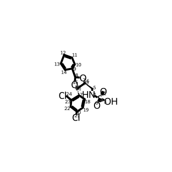 O=S(=O)(O)NC[C@@H]1OC(c2ccccc2)O[C@H]1c1ccc(Cl)cc1Cl